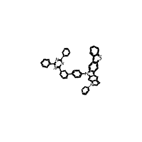 c1ccc(-c2nc(-c3ccccc3)nc(-c3cccc(-c4ccc(-n5c6cc7c(cc6c6cc8ccn(-c9ccccc9)c8cc65)sc5ccccc57)cc4)c3)n2)cc1